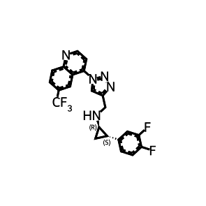 Fc1ccc([C@@H]2C[C@H]2NCc2cn(-c3ccnc4ccc(C(F)(F)F)cc34)nn2)cc1F